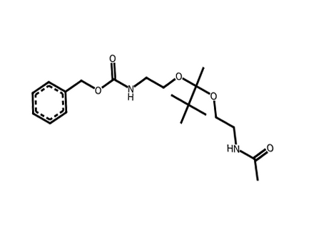 CC(=O)NCCOC(C)(OCCNC(=O)OCc1ccccc1)C(C)(C)C